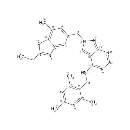 CCc1nc2cc(Cn3cc4c(NCc5c(C)cc(N)nc5C)ncnc4n3)cc(C)c2o1